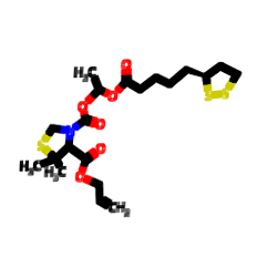 C=CCOC(=O)C1N(C(=O)OC(C)OC(=O)CCCC[C@H]2CCSS2)CSC1(C)C